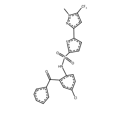 Cn1nc(-c2ccc(S(=O)(=O)Nc3ccc(Cl)cc3C(=O)c3ccccc3)s2)cc1C(F)(F)F